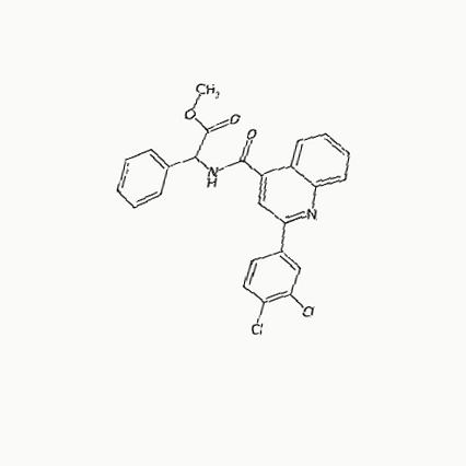 COC(=O)C(NC(=O)c1cc(-c2ccc(Cl)c(Cl)c2)nc2ccccc12)c1ccccc1